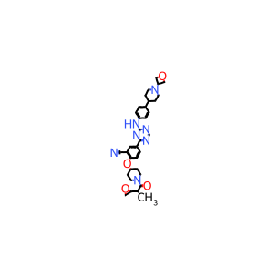 C[C@@H](C(=O)N1CCC(Oc2ccc(-c3ncnc(Nc4ccc(C5CCN(C6COC6)CC5)cc4)n3)cc2C#N)CC1)C1CO1